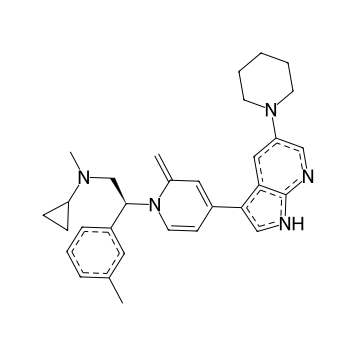 C=C1C=C(c2c[nH]c3ncc(N4CCCCC4)cc23)C=CN1[C@H](CN(C)C1CC1)c1cccc(C)c1